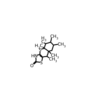 CC1CC2(C)C(C)c3sc(=O)[nH]c3SC2(C)C(C)C1C